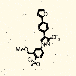 COCc1cc(-n2cc(-c3ccc(-c4ccco4)cc3)c(C(F)(F)F)n2)ccc1S(C)(=O)=O